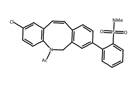 CNS(=O)(=O)c1ccccc1-c1ccc2c(c1)CN(C(C)=O)c1ccc(Cl)cc1C=C2